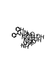 CN[C@@H]1CCN(c2nc(NCC(c3ccccc3)c3ccccc3)c3ncn([C@@H]4O[C@H](CO)[C@@H](O)[C@H]4OC(=O)C(F)(F)F)c3n2)C1